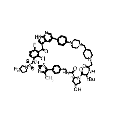 Cc1ncsc1-c1ccc(CNC(=O)[C@@H]2C[C@@H](O)CN2C(=O)C(NC(=O)CN2CCC(CN3CCN(c4ccc(-c5cnc6[nH]cc(C(=O)c7c(F)ccc(NS(=O)(=O)N8CC[C@@H](F)C8)c7Cl)c6c5)cc4)CC3)CC2)C(C)(C)C)cc1